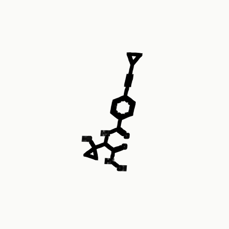 O=C(NC(C(=O)NO)C1(O)CC1)c1ccc(C#CC2CC2)cc1